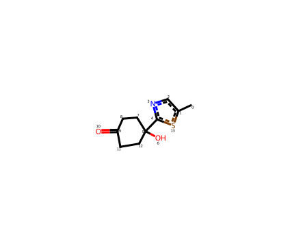 Cc1cnc(C2(O)CCC(=O)CC2)s1